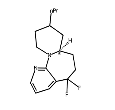 CCCC1CCN2c3ncccc3C(F)(F)CC[C@@H]2C1